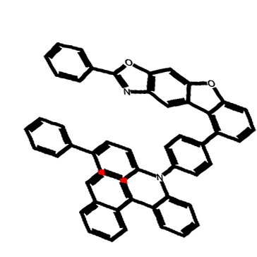 c1ccc(-c2ccc(N(c3ccc(-c4cccc5oc6cc7oc(-c8ccccc8)nc7cc6c45)cc3)c3ccccc3-c3cccc4ccccc34)cc2)cc1